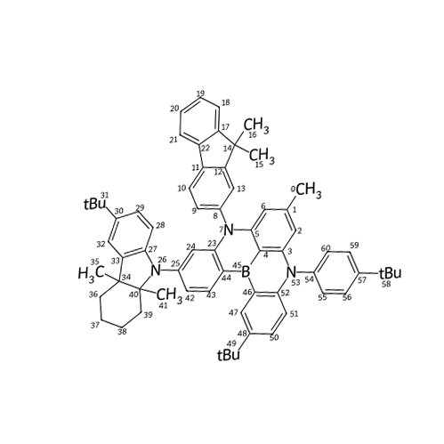 Cc1cc2c3c(c1)N(c1ccc4c(c1)C(C)(C)c1ccccc1-4)c1cc(N4c5ccc(C(C)(C)C)cc5C5(C)CCCCC45C)ccc1B3c1cc(C(C)(C)C)ccc1N2c1ccc(C(C)(C)C)cc1